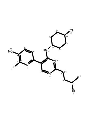 CC[C@H](F)CNc1ncc(-c2ccc(C#N)c(F)n2)c(N[C@H]2CC[C@H](O)CC2)n1